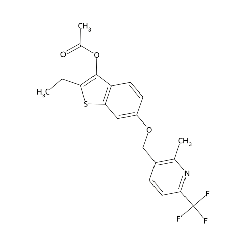 CCc1sc2cc(OCc3ccc(C(F)(F)F)nc3C)ccc2c1OC(C)=O